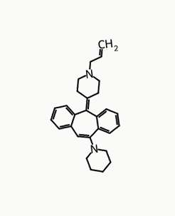 C=CCN1CCC(=C2c3ccccc3C=C(N3CCCCC3)c3ccccc32)CC1